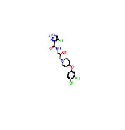 O=C(NC[C@@H](O)CN1CCC(Oc2ccc(Cl)c(Cl)c2)CC1)c1n[nH]cc1Cl